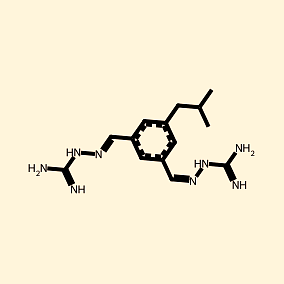 CC(C)Cc1cc(/C=N\NC(=N)N)cc(/C=N/NC(=N)N)c1